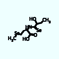 CCC(O)C(=[Se])N[C@@H](CC[Se]C)C(=O)O